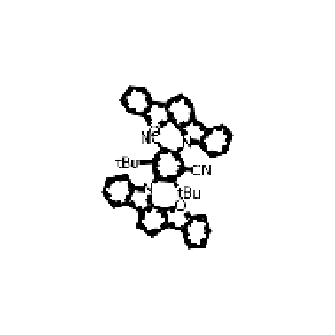 CC(C)(C)c1c(C#N)c(-n2c3ccccc3c3ccc4c5ccccc5oc4c32)c(C#N)c(C(C)(C)C)c1-n1c2ccccc2c2ccc3c4ccccc4oc3c21